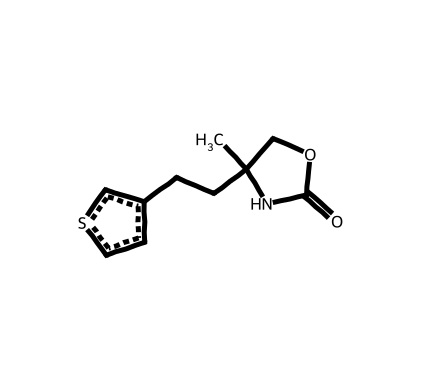 CC1(CCc2ccsc2)COC(=O)N1